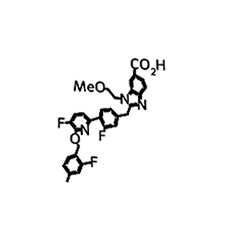 COCCn1c(Cc2ccc(-c3ccc(F)c(OCc4ccc(C)cc4F)n3)c(F)c2)nc2ccc(C(=O)O)cc21